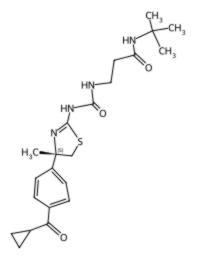 CC(C)(C)NC(=O)CCNC(=O)NC1=N[C@@](C)(c2ccc(C(=O)C3CC3)cc2)CS1